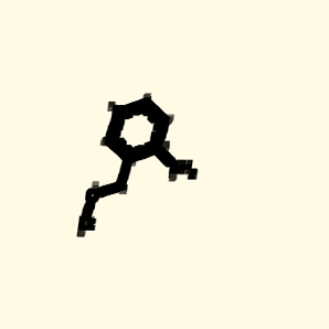 CCOCc1[c]nccc1N